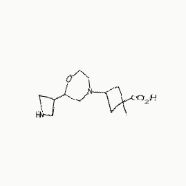 CC1(C(=O)O)CC(N2CCOC(C3CNC3)C2)C1